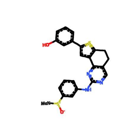 CN[S+]([O-])c1cccc(Nc2ncc3c(n2)-c2cc(-c4cccc(O)c4)sc2CC3)c1